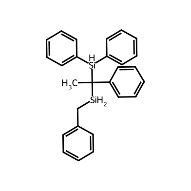 CC([SiH2]Cc1ccccc1)(c1ccccc1)[SiH](c1ccccc1)c1ccccc1